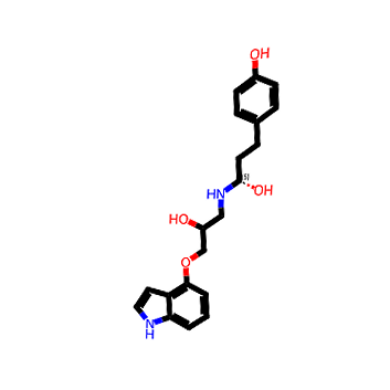 Oc1ccc(CC[C@H](O)NCC(O)COc2cccc3[nH]ccc23)cc1